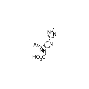 CC(=O)c1nn(CC(=O)O)c2cnc(-c3cnc(C)nc3)cc12